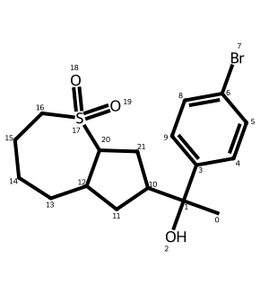 CC(O)(c1ccc(Br)cc1)C1CC2CCCCS(=O)(=O)C2C1